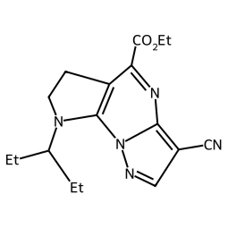 CCOC(=O)c1nc2c(C#N)cnn2c2c1CCN2C(CC)CC